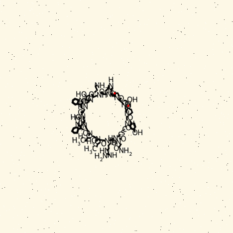 CCCC[C@@H]1C(=O)N(C)[C@H](CCCC)C(=O)N[C@@H](CCCNC(=N)N)C(=O)N[C@@H](C(=O)NCC(N)=O)CSCC(=O)N[C@@H](Cc2ccc(O)cc2)C(=O)N2CCCCC2C(=O)N[C@H](CC(=O)O)C(=O)N2CCC[C@H]2C(=O)N[C@H](Cc2c[nH]cn2)C(=O)N[C@@H](CCCN)C(=O)N2C[C@H](O)CC2C(=O)N[C@H](Cc2c[nH]c3ccccc23)C(=O)N[C@@H](CO)C(=O)N[C@@H](Cc2c[nH]c3ccccc23)C(=O)N1C